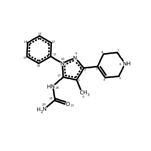 Cc1c(C2=CCNCC2)nn(-c2ccccc2)c1NC(N)=O